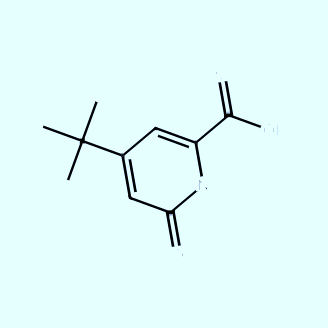 CC(C)(C)c1cc(C(=O)O)[nH]c(=O)c1